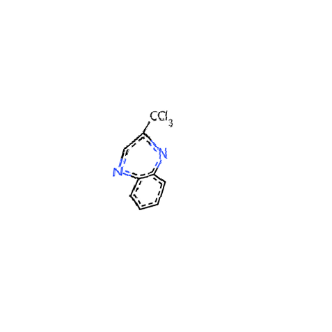 ClC(Cl)(Cl)c1cnc2ccccc2n1